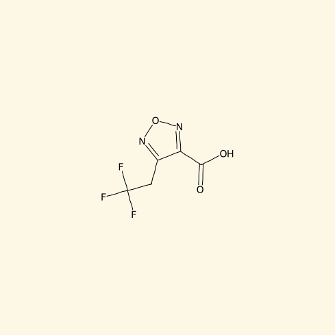 O=C(O)c1nonc1CC(F)(F)F